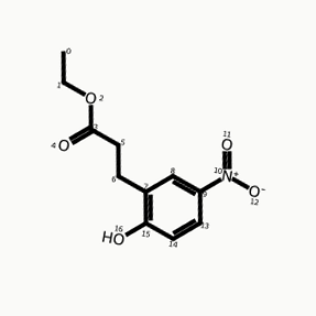 CCOC(=O)CCc1cc([N+](=O)[O-])ccc1O